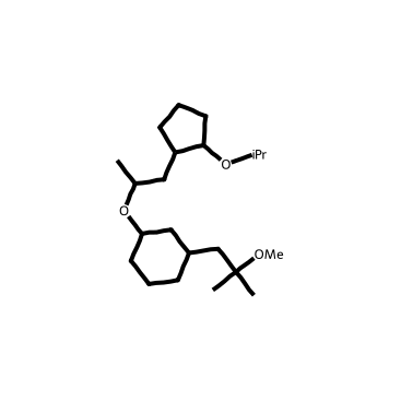 COC(C)(C)CC1CCCC(OC(C)CC2CCCC2OC(C)C)C1